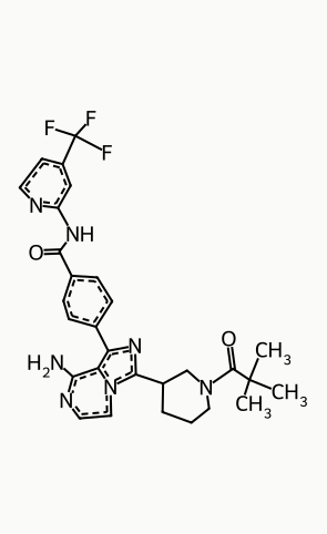 CC(C)(C)C(=O)N1CCCC(c2nc(-c3ccc(C(=O)Nc4cc(C(F)(F)F)ccn4)cc3)c3c(N)nccn23)C1